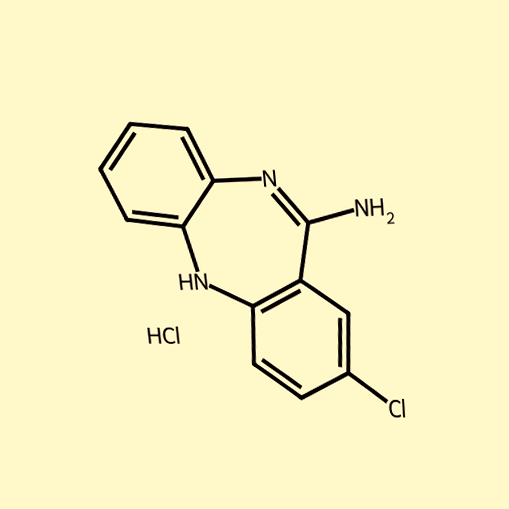 Cl.NC1=Nc2ccccc2Nc2ccc(Cl)cc21